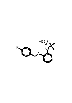 CC(C)(Oc1ccccc1NCc1ccc(F)cc1)C(=O)O